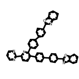 c1cnc(-c2ccc(-c3ccc(-c4ccc(-c5nc6ccccc6o5)cc4)cc3)c(-c3ccc(-c4ccc(-c5nc6ccccc6o5)cc4)cc3)n2)nc1